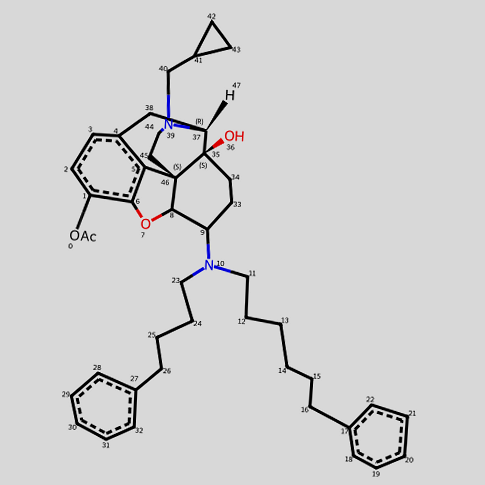 CC(=O)Oc1ccc2c3c1OC1C(N(CCCCCCc4ccccc4)CCCCc4ccccc4)CC[C@@]4(O)[C@@H](C2)N(CC2CC2)CC[C@]314